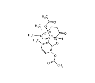 CC(=O)Oc1ccc(C)c2c1O[C@H]1C(=O)CC[C@@]3(OC(C)=O)[C@@H](C)N(C)CC[C@]213